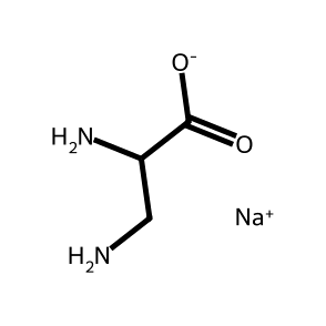 NCC(N)C(=O)[O-].[Na+]